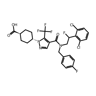 O=C(c1cnn([C@H]2CC[C@H](C(=O)O)CC2)c1C(F)(F)F)N(Cc1ccc(F)cc1)CC(F)c1c(Cl)cccc1Cl